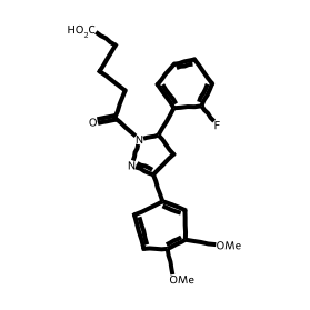 COc1ccc(C2=NN(C(=O)CCCC(=O)O)C(c3ccccc3F)C2)cc1OC